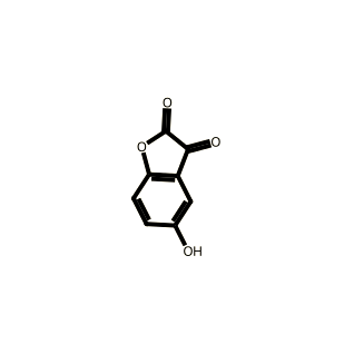 O=C1Oc2ccc(O)cc2C1=O